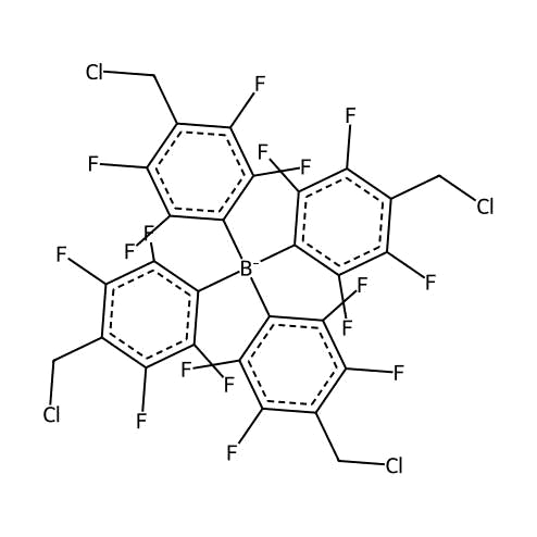 Fc1c(F)c([B-](c2c(F)c(F)c(CCl)c(F)c2F)(c2c(F)c(F)c(CCl)c(F)c2F)c2c(F)c(F)c(CCl)c(F)c2F)c(F)c(F)c1CCl